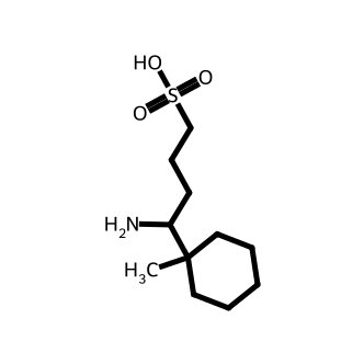 CC1(C(N)CCCS(=O)(=O)O)CCCCC1